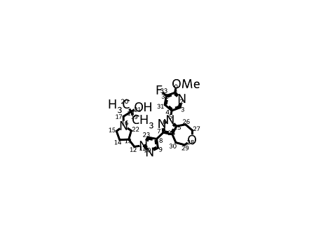 COc1ncc(-n2nc(-c3cnn(CC4CCN(CC(C)(C)O)C4)c3)c3c2CCOCC3)cc1F